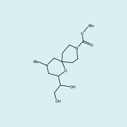 CC(C)(C)OC(=O)N1CCC2(CC1)CN(C(C)(C)C)CC(C(O)CO)O2